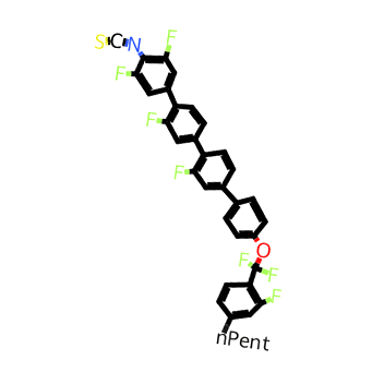 CCCCCc1ccc(C(F)(F)Oc2ccc(-c3ccc(-c4ccc(-c5cc(F)c(N=C=S)c(F)c5)c(F)c4)c(F)c3)cc2)c(F)c1